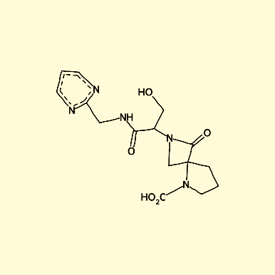 O=C(NCc1ncccn1)C(CO)N1CC2(CCCN2C(=O)O)C1=O